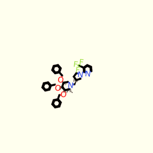 C[C@@H]1[C@@H](OCc2ccccc2)[C@H](OCc2ccccc2)[C@@H](OCc2ccccc2)CN1C[C@H]1CCN(c2ncccc2C(F)(F)F)C1